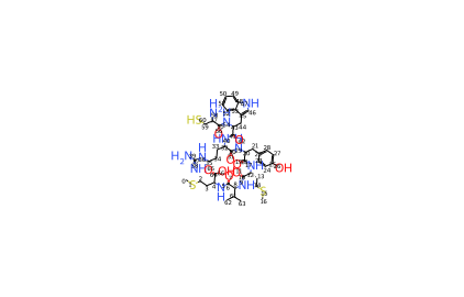 CSCCC(NC(=O)C(NC(=O)[C@@H](CCSC)NC(=O)C(Cc1ccc(O)cc1)NC(=O)C(CCCNC(=N)N)NC(=O)C(Cc1c[nH]c2ccccc12)NC(=O)C(N)CS)C(C)C)C(=O)O